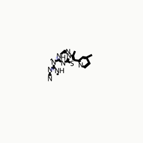 CN/C(=N\C#N)N(C)/C(=N/C#N)Nc1nc(C)c(-c2cc(C)ccn2)s1